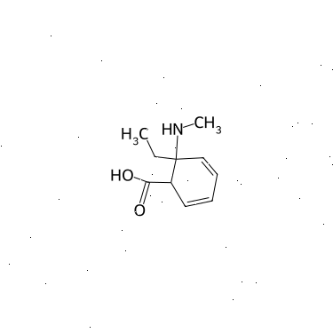 CCC1(NC)C=CC=CC1C(=O)O